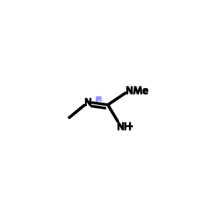 C/N=C(\[NH])NC